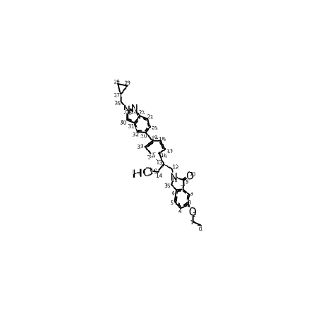 CCOc1ccc2c(c1)C(=O)N(C[C@@H](CO)[C@H]1C=CC(c3ccc4nn(CC5CC5)cc4c3)=CC1)C2